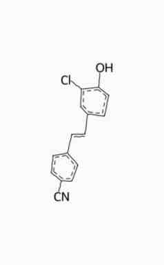 N#Cc1ccc(/C=C/c2ccc(O)c(Cl)c2)cc1